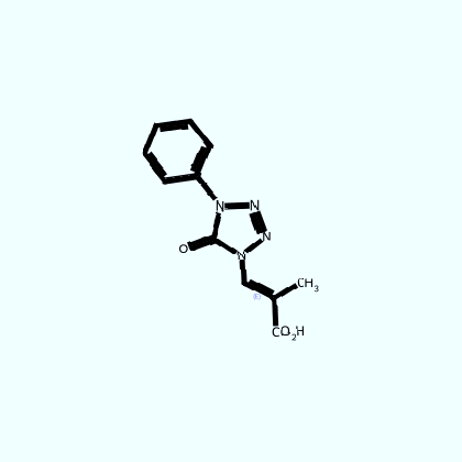 C/C(=C\n1nnn(-c2ccccc2)c1=O)C(=O)O